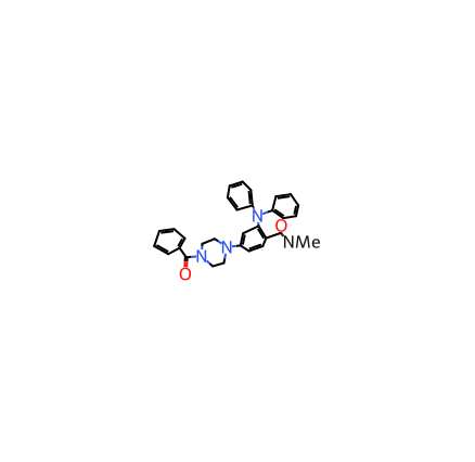 CNC(=O)c1ccc(N2CCN(C(=O)c3ccccc3)CC2)cc1N(c1ccccc1)c1ccccc1